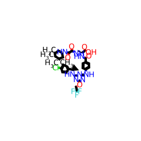 CC1(C)CC(NC(=O)C(=O)NC[C@H](NC(=O)c2ccc(Nc3nc(NC4(c5ccc(Cl)cc5)CC4)nc(OCC(F)(F)F)n3)cc2)C(=O)O)CC(C)(C)C1